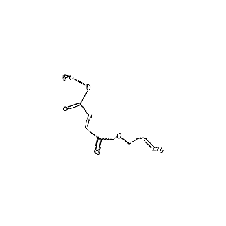 C=CCOC(=O)C=CC(=O)OC(C)C